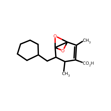 CC1=C(C(=O)O)C(C)C(CC2CCCCC2)C23OC12O3